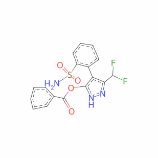 NS(=O)(=O)c1ccccc1-c1c(C(F)F)n[nH]c1OC(=O)c1ccccc1